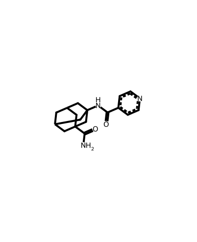 NC(=O)C12CC3CC(CC(NC(=O)c4ccncc4)(C3)C1)C2